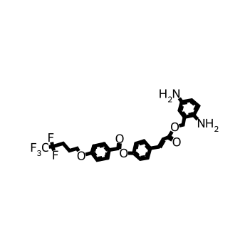 Nc1ccc(N)c(COC(=O)C=Cc2ccc(OC(=O)c3ccc(OCCCC(F)(F)C(F)(F)F)cc3)cc2)c1